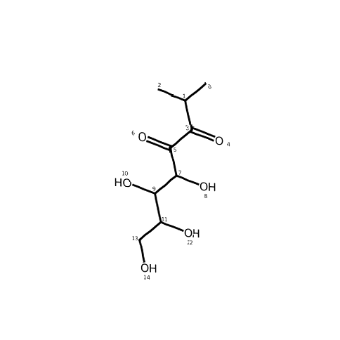 CC(C)C(=O)C(=O)C(O)C(O)C(O)CO